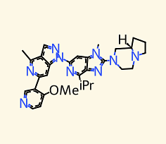 COc1ccncc1-c1cc2c(cnn2-c2cc3c(nc(N4CCN5CCC[C@H]5C4)n3C)c(C(C)C)n2)c(C)n1